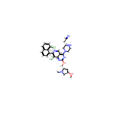 CO[C@@H]1C[C@@H](COc2nc(N3CCN[C@@H](CC#N)C3)c3cnc(-c4cccc5cccc(Cl)c45)c(F)c3n2)N(C)C1